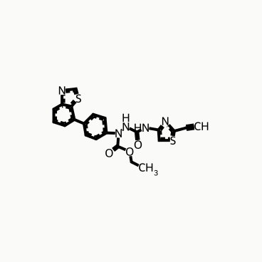 C#Cc1nc(NC(=O)NN(C(=O)OCC)c2ccc(-c3cccc4ncsc34)cc2)cs1